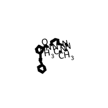 CC(C)n1cnnc1-c1cccc(NC(=O)c2cccc(C#Cc3ccccc3)c2)n1